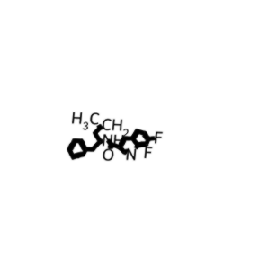 C=C(C)CC(Cc1ccccc1)NC(=O)c1cnc2c(F)c(F)ccc2c1